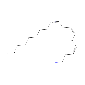 CCCCCCCC/C=C\C/C=C\C/C=C\CCN